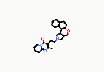 Cc1nc2ccccn2c(=O)c1CCN1CC2COc3ccc4ccccc4c3C2C1